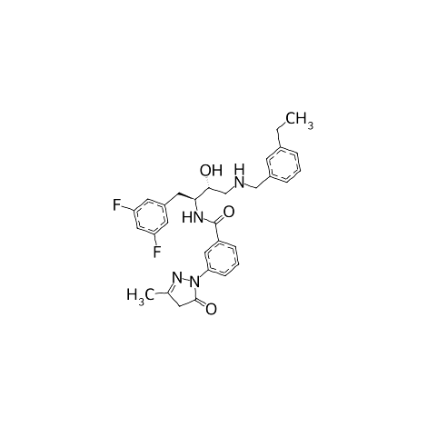 CCc1cccc(CNC[C@@H](O)[C@H](Cc2cc(F)cc(F)c2)NC(=O)c2cccc(N3N=C(C)CC3=O)c2)c1